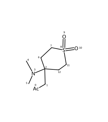 CC(=O)CC1(N(C)C)CCS(=O)(=O)CC1